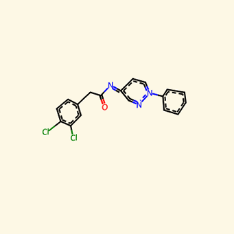 O=C(Cc1ccc(Cl)c(Cl)c1)/N=c1/ccn(-c2ccccc2)nc1